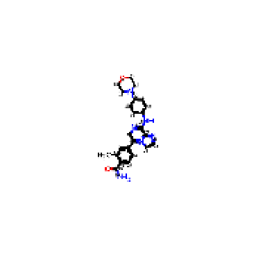 Cc1cc(-c2cnc(Nc3ccc(N4CCOCC4)cc3)c3nccn23)ccc1C(N)=O